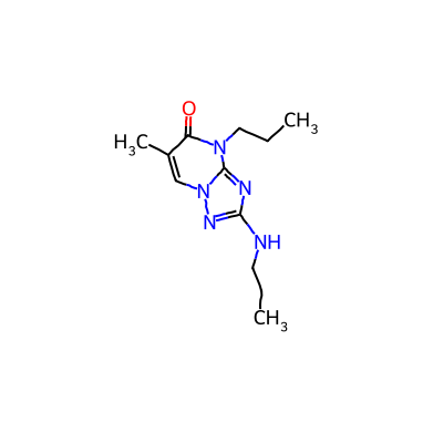 CCCNc1nc2n(CCC)c(=O)c(C)cn2n1